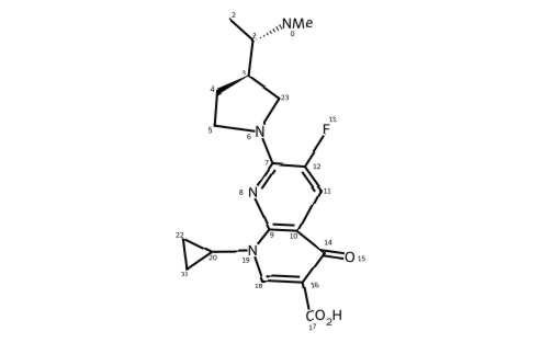 CN[C@@H](C)[C@@H]1CCN(c2nc3c(cc2F)c(=O)c(C(=O)O)cn3C2CC2)C1